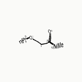 CCCOCC(=O)NC